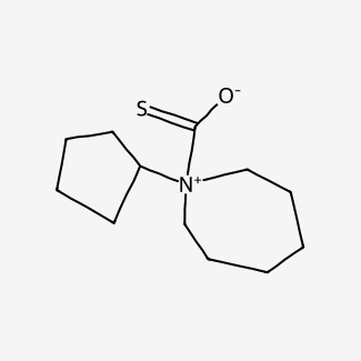 [O-]C(=S)[N+]1(C2CCCC2)CCCCCC1